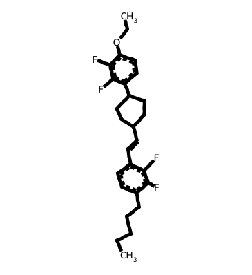 CCCCCc1ccc(/C=C/C2CCC(c3ccc(OCC)c(F)c3F)CC2)c(F)c1F